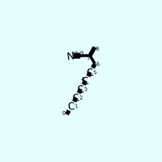 C=C=C=C=C=C=CC(=C)C#N